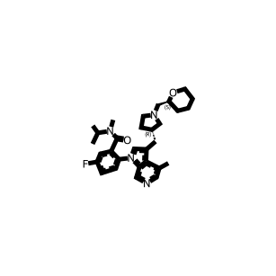 Cc1cncc2c1c(C[C@@H]1CCN(C[C@@H]3CCCCO3)C1)cn2-c1ccc(F)cc1C(=O)N(C)C(C)C